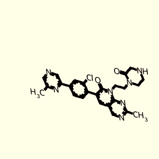 Cc1cncc(-c2ccc(-c3cc4cnc(C)nc4n(CCN4CCNCC4=O)c3=O)c(Cl)c2)n1